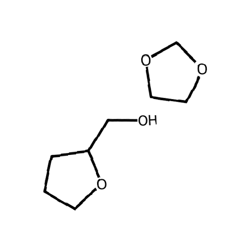 C1COCO1.OCC1CCCO1